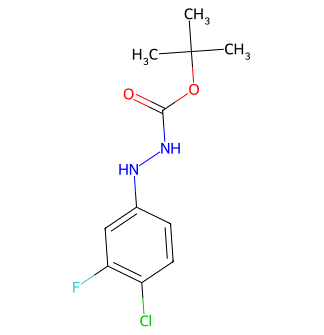 CC(C)(C)OC(=O)NNc1ccc(Cl)c(F)c1